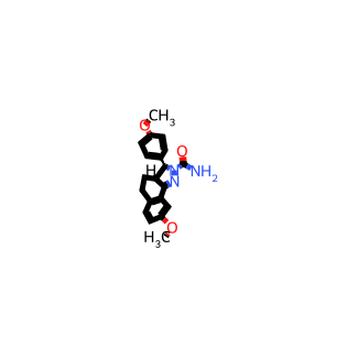 COc1ccc([C@@H]2[C@@H]3CCc4ccc(OC)cc4C3=NN2C(N)=O)cc1